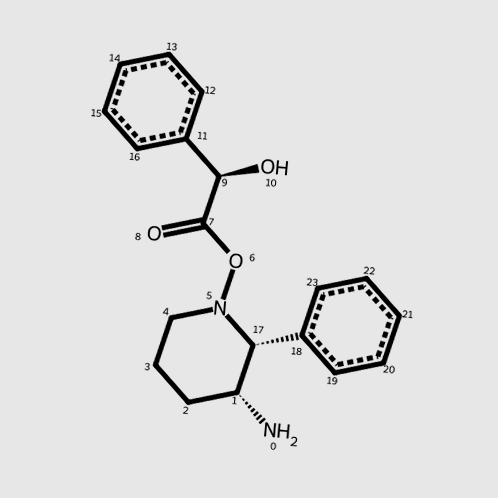 N[C@@H]1CCCN(OC(=O)[C@H](O)c2ccccc2)[C@@H]1c1ccccc1